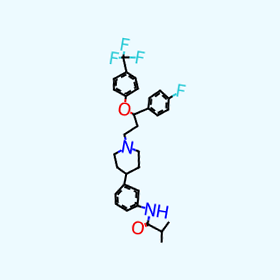 CC(C)C(=O)Nc1cccc(C2CCN(CCC(Oc3ccc(C(F)(F)F)cc3)c3ccc(F)cc3)CC2)c1